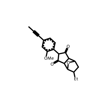 CC#Cc1ccc(C2C(=O)C3C4CC(CC)C(O4)C3C2=O)c(OC)c1